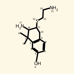 CC1(C)c2cc(O)ccc2CC(SCCN)C1N